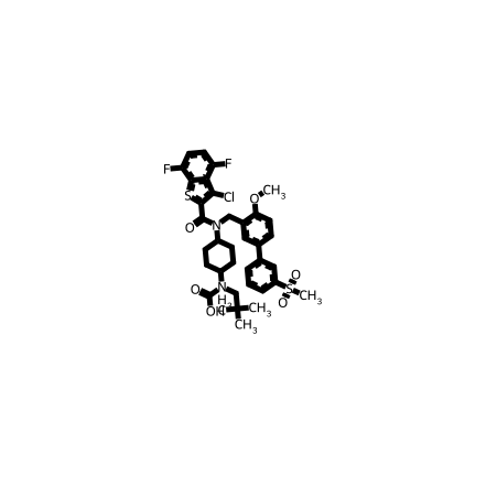 COc1ccc(-c2cccc(S(C)(=O)=O)c2)cc1CN(C(=O)c1sc2c(F)ccc(F)c2c1Cl)C1CCC(N(CC(C)(C)C)C(=O)O)CC1